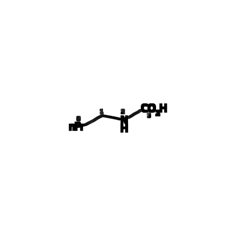 CCCCNC(=O)O